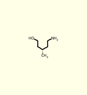 C[C@@H](CCN)CCO